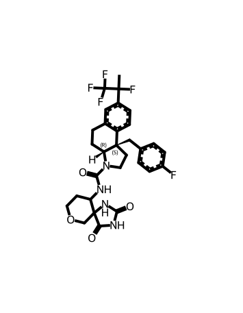 CC(F)(c1ccc2c(c1)CC[C@H]1N(C(=O)NC3CCOCC34NC(=O)NC4=O)CC[C@@]21Cc1ccc(F)cc1)C(F)(F)F